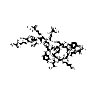 N=C(N)NCCC[C@H](NC(=O)[C@H](CS)NC(=O)[C@H](CCCNC(N)=O)NC(=O)[C@H](CCCNC(=N)N)NC(=O)[C@H](Cc1ccc(O)cc1)NC(=O)[C@@H]1CCCN1C(=O)[C@@H](CCCCN)NC(=O)[C@H](CCCCN)NC(=O)[C@H](CCCNC(N)=O)NC(=O)[C@H](Cc1ccc(O)cc1)NC(=O)[C@@H](N)CS)C(N)=O